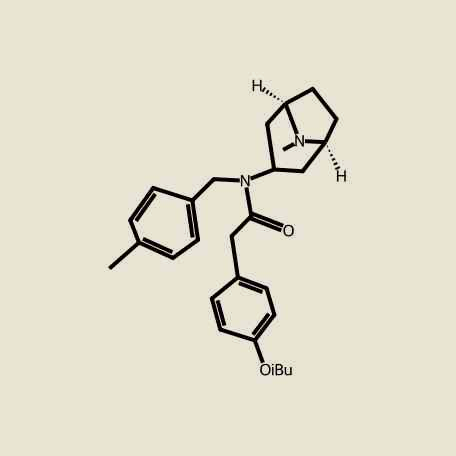 Cc1ccc(CN(C(=O)Cc2ccc(OCC(C)C)cc2)C2C[C@H]3CC[C@@H](C2)N3C)cc1